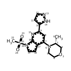 C[C@@H]1COCCN1c1cc(-c2ccn[nH]2)nc2c1ccn2S(C)(=O)=O